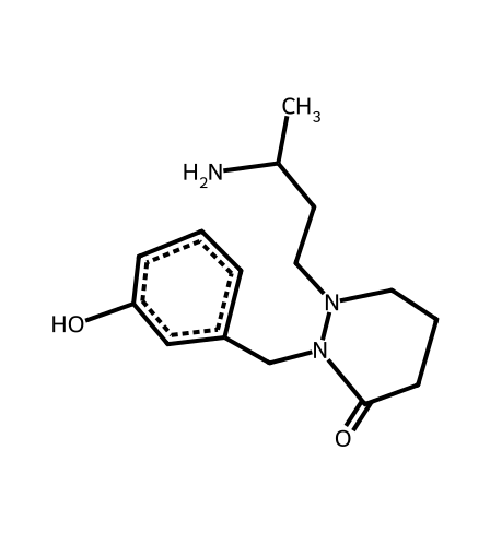 CC(N)CCN1CCCC(=O)N1Cc1cccc(O)c1